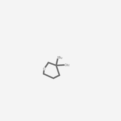 CC(C)(C)C1(O)CCCOC1